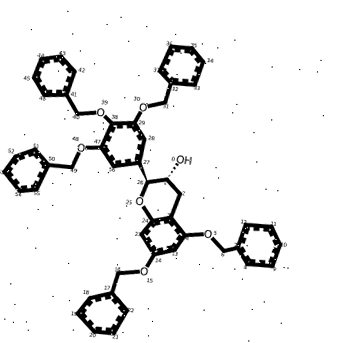 O[C@@H]1Cc2c(OCc3ccccc3)cc(OCc3ccccc3)cc2O[C@H]1c1cc(OCc2ccccc2)c(OCc2ccccc2)c(OCc2ccccc2)c1